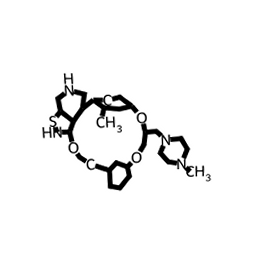 CC1CC2CCC1C1CNCC3SNC(OCCC4CCCC(C4)OCC(CN4CCN(C)CC4)O2)C31